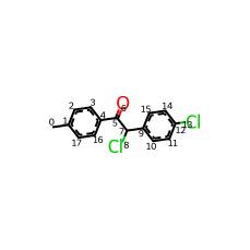 Cc1ccc(C(=O)C(Cl)c2ccc(Cl)cc2)cc1